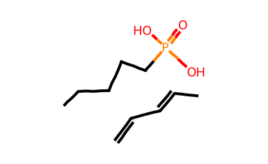 C=CC=CC.CCCCCP(=O)(O)O